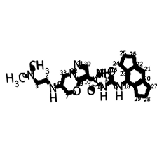 CN(C)CCNC1COc2c(S(=N)(=O)NC(=O)Nc3c4c(cc5c3CCC5)CCC4)cnn2C1